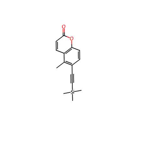 Cc1c(C#C[Si](C)(C)C)ccc2oc(=O)ccc12